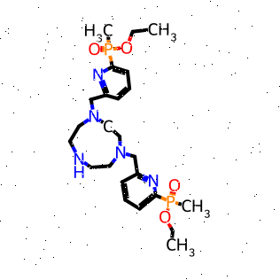 CCOP(C)(=O)c1cccc(CN2CCNCCN(Cc3cccc(P(C)(=O)OCC)n3)CC2)n1